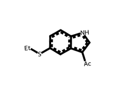 CCSc1ccc2[nH]cc(C(C)=O)c2c1